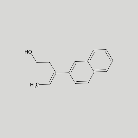 CC=C(CCO)c1ccc2ccccc2c1